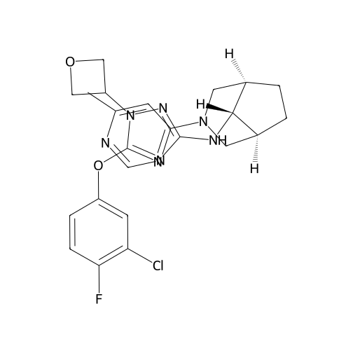 Cc1cc(N2C[C@H]3CC[C@@H](C2)[C@@H]3Nc2nc(Oc3ccc(F)c(Cl)c3)n(C3COC3)n2)ncn1